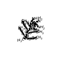 COCCOCCOCCN(CC(C)=O)C(=O)CN(CCOCCOCCOC)C(=O)CN(CCOCCOCCOC)C(=O)CN(CCOCCOCCOC)C(=O)CN(CCN)C(=O)CN(CCN)C(=O)CN(CCN)C(=O)CN(CCN)C(=O)CN(CCN)C(=O)CNCCN